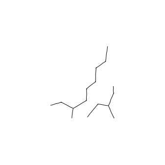 CCC(C)CC.CCCCCCC(C)CC